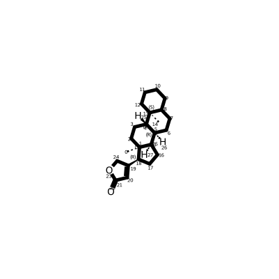 C[C@]12CC[C@H]3[C@@H](CCC4CCCC[C@@]43C)[C@H]1CC[C@H]2C1=CC(=O)OC1